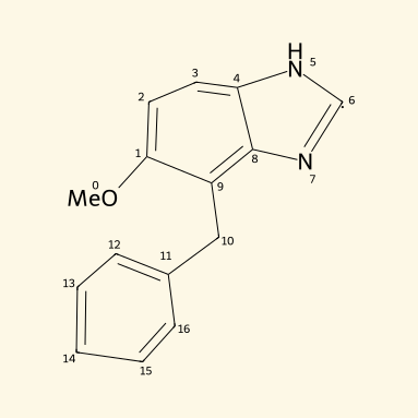 COc1ccc2[nH][c]nc2c1Cc1ccccc1